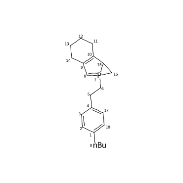 CCCCc1ccc(CCP23=CC4=C(CCCC4)C2C3)cc1